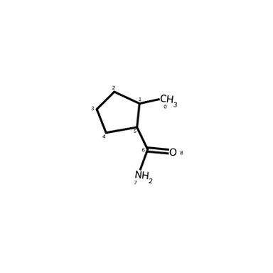 CC1CCCC1C(N)=O